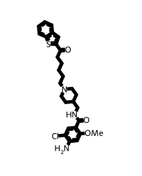 COc1cc(N)c(Cl)cc1C(=O)NCC1CCN(CCCCCC(=O)c2cc3ccccc3s2)CC1